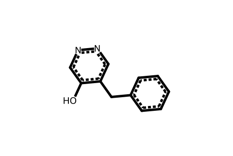 Oc1cnncc1Cc1ccccc1